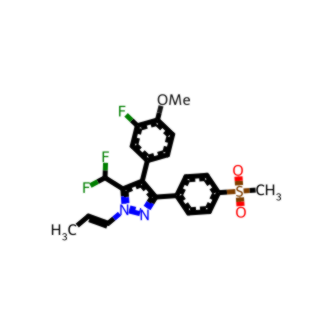 CC=Cn1nc(-c2ccc(S(C)(=O)=O)cc2)c(-c2ccc(OC)c(F)c2)c1C(F)F